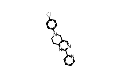 Clc1ccc(N2CCc3nc(-c4ccccn4)ncc3C2)cc1